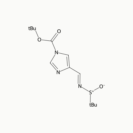 CC(C)(C)OC(=O)n1cnc(C=N[S+]([O-])C(C)(C)C)c1